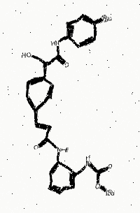 CC(C)(C)OC(=O)Nc1ccccc1NC(=O)C=Cc1ccc(C(O)C(=O)Nc2ccc(C(C)(C)C)cc2)cc1